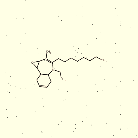 CCCCCCCCC1=C(C)C2OC2C2CC=CCC2N1CC